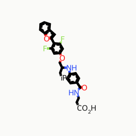 CC(C)CC(COc1cc(F)c(-c2cc3ccccc3o2)c(F)c1)Nc1ccc(C(=O)NCCC(=O)O)cc1